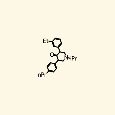 CCCc1ccc(C2CN(C(C)C)CC(c3cccc(CC)c3)C2=O)cc1